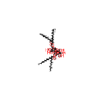 CCCCCCCCCC(CCCCCCCCC)CC(=O)OCC1OC(O[C@H]2OC(COC(=O)CC(CCCCCCCCC)CCCCCCCCC)[C@@H](O)[C@H](O)C2O)C(O)[C@@H](O)[C@@H]1O